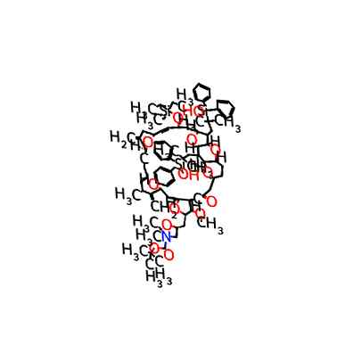 C=C1C2C[C@@H]3O[C@H](C[C@H]4CN(C(=O)OC(C)(C)C)C(C)(C)O4)[C@H](OC)[C@H]3CC(=O)CC3CC[C@@H]4O[C@H]5C(CC(C)(C)[Si](O)(c6ccccc6)c6ccccc6)[C@@H](CC(O[Si](CC)(CC)CC)/C=C/C6CC(=C)[C@H](CC[C@@H](C[C@H]1C)O2)O6)O[C@H]5[C@@H](CC(C)(C)[Si](O)(c1ccccc1)c1ccccc1)[C@H]4O3